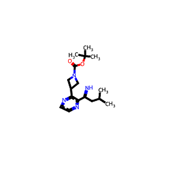 CC(C)CC(=N)c1nccnc1C1CN(C(=O)OC(C)(C)C)C1